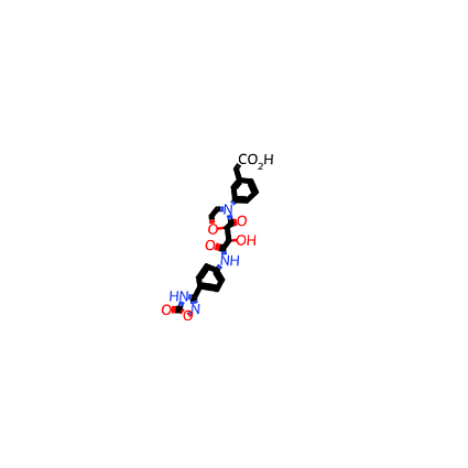 O=C(O)Cc1cccc(N2CCO[C@H]([C@@H](O)C(=O)Nc3ccc(-c4noc(=O)[nH]4)cc3)C2=O)c1